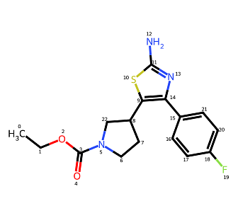 CCOC(=O)N1CCC(c2sc(N)nc2-c2ccc(F)cc2)C1